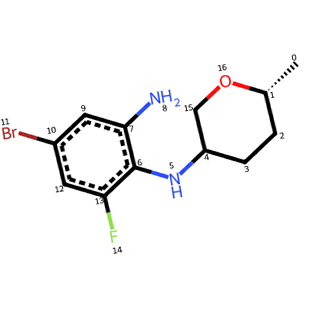 C[C@@H]1CCC(Nc2c(N)cc(Br)cc2F)CO1